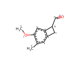 COc1cc2c(cc1C)CC2C=O